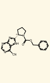 N#Cc1ncnc2nc([C@@H]3CCCN3C(=O)OCc3ccccc3)[nH]c12